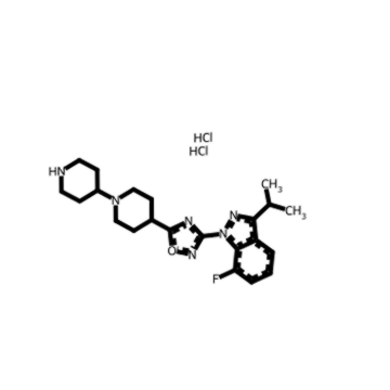 CC(C)c1nn(-c2noc(C3CCN(C4CCNCC4)CC3)n2)c2c(F)cccc12.Cl.Cl